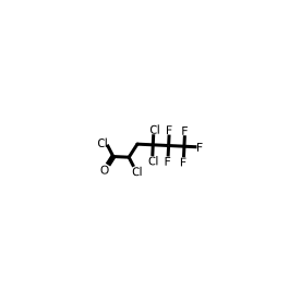 O=C(Cl)C(Cl)CC(Cl)(Cl)C(F)(F)C(F)(F)F